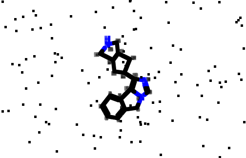 c1ccc2c(c1)Cn1cnc(C3CC4CNCC4C3)c1-2